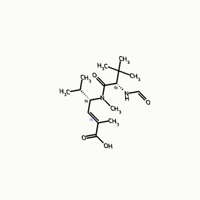 C/C(=C\[C@H](C(C)C)N(C)C(=O)[C@@H](NC=O)C(C)(C)C)C(=O)O